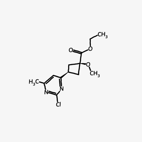 CCOC(=O)[C@]1(OC)C[C@@H](c2cc(C)nc(Cl)n2)C1